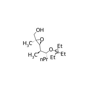 CCC[C@@H](O[Si](CC)(CC)CC)[C@@H](C)[C@@H]1O[C@]1(C)CO